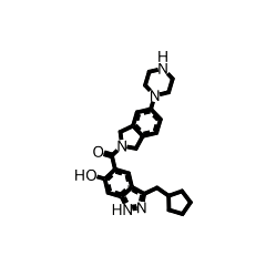 O=C(c1cc2c(CC3CCCC3)n[nH]c2cc1O)N1Cc2ccc(N3CCNCC3)cc2C1